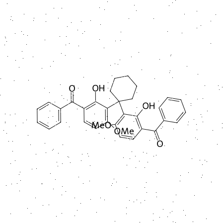 COc1ccc(C(=O)c2ccccc2)c(O)c1C1(c2c(OC)ccc(C(=O)c3ccccc3)c2O)CCCCC1